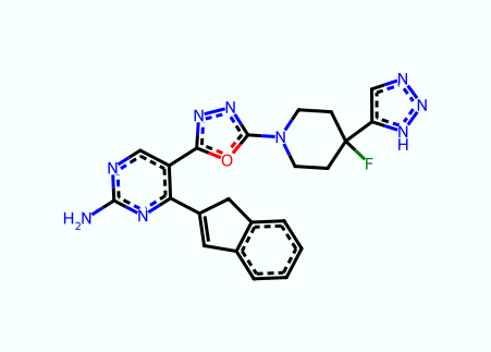 Nc1ncc(-c2nnc(N3CCC(F)(c4cnn[nH]4)CC3)o2)c(C2=Cc3ccccc3C2)n1